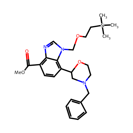 COC(=O)c1ccc(C2CN(Cc3ccccc3)CCO2)c2c1ncn2COCC[Si](C)(C)C